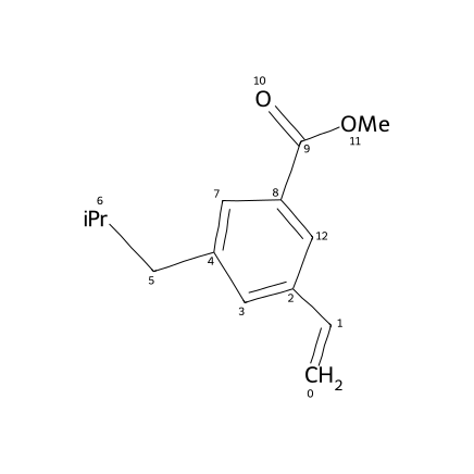 C=Cc1cc(CC(C)C)cc(C(=O)OC)c1